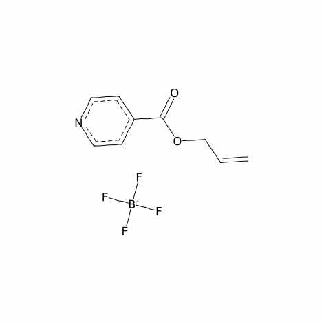 C=CCOC(=O)c1ccncc1.F[B-](F)(F)F